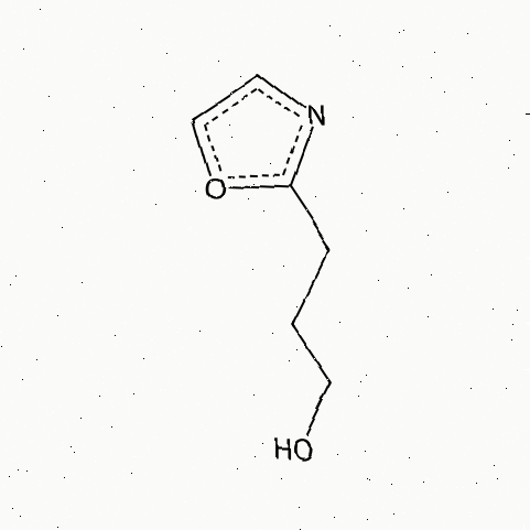 OCCCc1ncco1